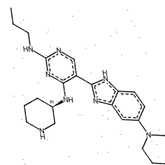 CCCNc1ncc(-c2nc3cc(N4CCNCC4)ccc3[nH]2)c(N[C@@H]2CCCNC2)n1